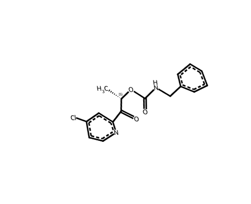 C[C@H](OC(=O)NCc1ccccc1)C(=O)c1cc(Cl)ccn1